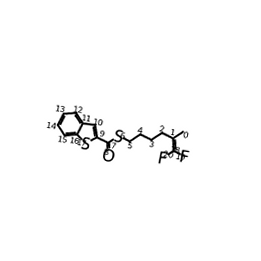 CC(CCCCSC(=O)c1cc2ccccc2s1)=C(F)F